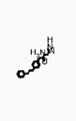 N[C@@H](Cc1c[nH]cn1)C(=O)Cc1ccc(/C=C/Cc2ccccc2)cc1